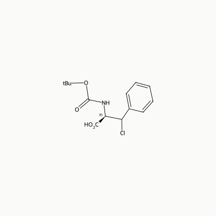 CC(C)(C)OC(=O)N[C@H](C(=O)O)C(Cl)c1ccccc1